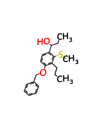 CCCc1c(OCc2ccccc2)ccc(C(O)CC)c1SC